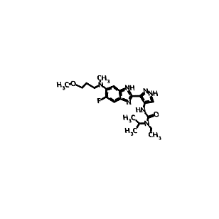 CCN(C(=O)Nc1c[nH]nc1-c1nc2cc(F)c(N(C)CCCOC)cc2[nH]1)C(C)C